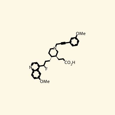 COc1cccc(C#CCN2CC[C@@H](CC[C@@H](F)c3ccnc4ccc(OC)cc34)[C@H](CCC(=O)O)C2)c1